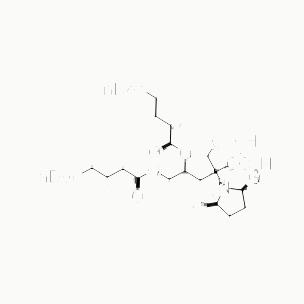 CCCCCCCCCCCCCC(=O)OCC(CC(CC(=O)O)(C(=O)O)N1C(=O)CCC1=O)OC(=O)CCCCCCCCCCCCC